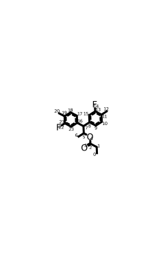 CCC(=O)OC(C)C(c1ccc(C)c(F)c1)c1ccc(C)c(F)c1